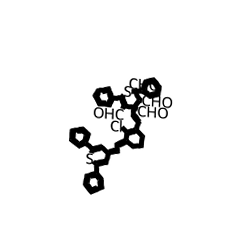 O=CC1=C(c2ccccc2)SC(C=O)(c2ccccc2)C(C=O)C1(C=O)C=CC1=C(Cl)C(=CC=C2C=C(c3ccccc3)SC(c3ccccc3)=C2)CCC1